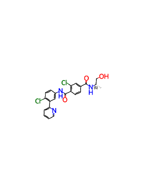 C[C@@H](CO)NC(=O)c1ccc(C(=O)Nc2ccc(Cl)c(-c3ccccn3)c2)c(Cl)c1